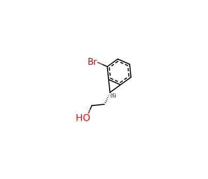 OCC[C@H]1c2cccc(Br)c21